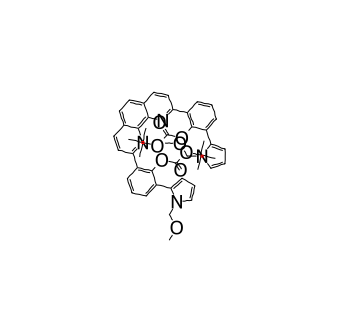 COCn1cccc1-c1cccc(-c2ccc3ccc4ccc(-c5cccc(-c6cccn6COC)c5OC(=O)OC(C)(C)C)nc4c3n2)c1OC(=O)OC(C)(C)C